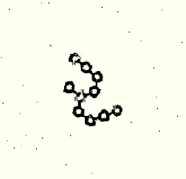 c1ccc(-c2nc(-c3cccc(-c4cccc(-c5ccc(-c6ccccn6)cc5)c4)c3)nc(-c3cccc(-c4cccc(-c5ccc(-c6ncccn6)cc5)c4)c3)n2)cc1